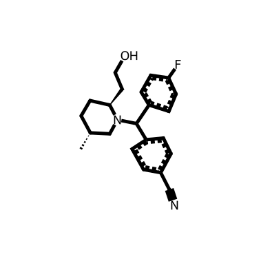 C[C@@H]1CC[C@@H](CCO)N(C(c2ccc(F)cc2)c2ccc(C#N)cc2)C1